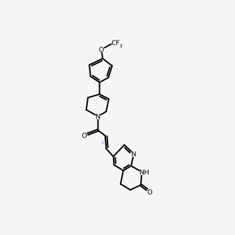 O=C1CCc2cc(/C=C/C(=O)N3CC=C(c4ccc(OC(F)(F)F)cc4)CC3)cnc2N1